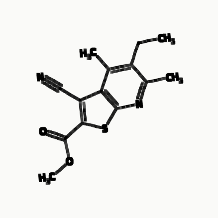 CCc1c(C)nc2sc(C(=O)OC)c(C#N)c2c1C